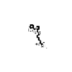 C[C@H](C/C=C/CC[C@@H](O)C(N)=O)OC(=O)[C@@H]1CC=CN1C(=O)c1ccccc1O